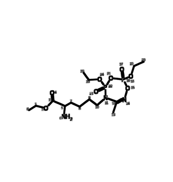 CCOC(=O)C(N)CCCCN1C(C)=NOP(=O)(OCC)OP1(=O)OCC